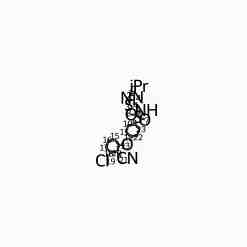 CC(C)c1nsc(NS(=O)(=O)c2ccc(Oc3cccc(Cl)c3C#N)cc2)n1